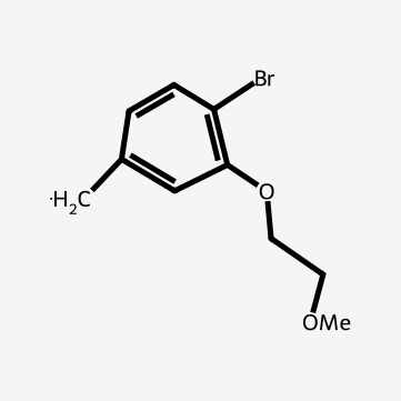 [CH2]c1ccc(Br)c(OCCOC)c1